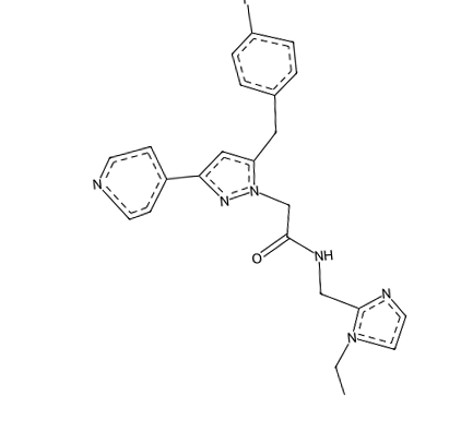 CCn1ccnc1CNC(=O)Cn1nc(-c2ccncc2)cc1Cc1ccc(F)cc1